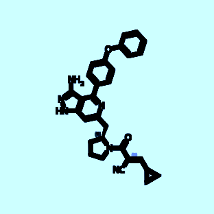 N#C/C(=C\C1CC1)C(=O)N1CCC[C@H]1Cc1cc2[nH]nc(N)c2c(-c2ccc(Oc3ccccc3)cc2)n1